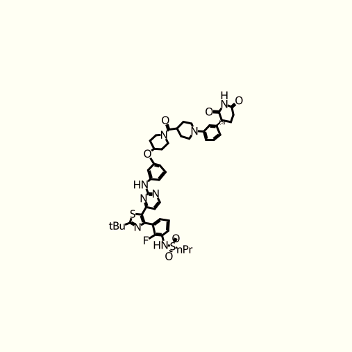 CCCS(=O)(=O)Nc1cccc(-c2nc(C(C)(C)C)sc2-c2ccnc(Nc3cccc(OC4CCN(C(=O)C5CCN(c6cccc([C@@H]7CCC(=O)NC7=O)c6)CC5)CC4)c3)n2)c1F